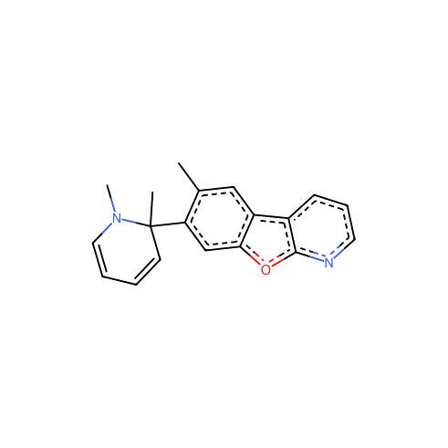 Cc1cc2c(cc1C1(C)C=CC=CN1C)oc1ncccc12